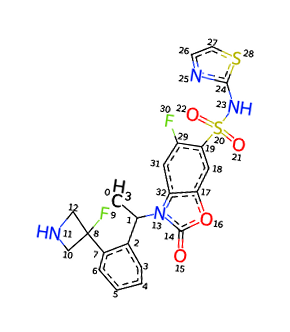 CC(c1ccccc1C1(F)CNC1)n1c(=O)oc2cc(S(=O)(=O)Nc3nccs3)c(F)cc21